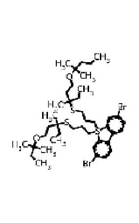 CCCC(C)(C)OCCC(C)(CC)SCCCS1(CCCSC(C)(CC)CCOC(C)(C)CC)c2cc(Br)ccc2-c2ccc(Br)cc21